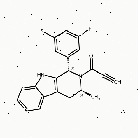 C#CC(=O)N1[C@@H](c2cc(F)cc(F)c2)c2[nH]c3ccccc3c2C[C@@H]1C